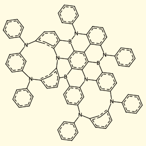 c1ccc(N2B3c4ccc5cc4N4c6cc(ccc6B6c7ccc8cc7N7c9cc(ccc9B9c%10c(c3c4c6c%107)-c3c2cccc3N9c2ccccc2)N(c2ccccc2)c2cccc(c2)N8c2ccccc2)N(c2ccccc2)c2cccc(c2)N5c2ccccc2)cc1